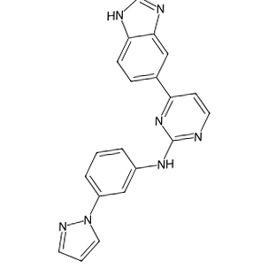 c1cc(Nc2nccc(-c3ccc4[nH]cnc4c3)n2)cc(-n2cccn2)c1